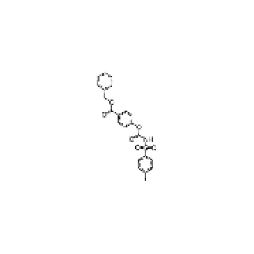 Cc1ccc(S(=O)(=O)NC(=O)Oc2ccc(C(=O)OCc3ccccc3)cc2)cc1